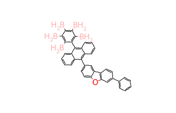 Bc1c(B)c(B)c(-c2c3ccccc3c(-c3ccc4oc5cc(-c6ccccc6)ccc5c4c3)c3ccccc23)c(B)c1B